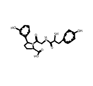 O=C(NCC(=O)N1C(C(=O)O)CCC1c1cccc(O)c1)C(S)Cc1ccc(O)cc1